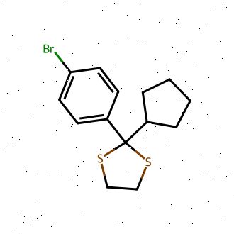 Brc1ccc(C2(C3CCCC3)SCCS2)cc1